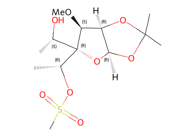 CO[C@H]1[C@H]2OC(C)(C)O[C@H]2O[C@@]1([C@H](C)O)[C@@H](C)OS(C)(=O)=O